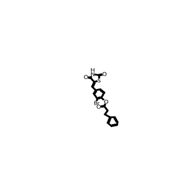 O=C(CCc1ccccc1)Oc1ccc(/C=C2\SC(=O)NC2=O)cc1Br